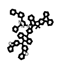 CC1(C)c2cc3c4ccccc4c4ccccc4c3cc2-c2c1c1c3ccc(-c4c5ccccc5c(C(c5ccc6oc7ccccc7c6c5)c5ccc6oc7ccccc7c6c5)c5ccccc45)cc3n(-c3cc(-c4cccc(-c5ccccc5)c4)nc(-c4ccccc4)n3)c1c1ccccc21